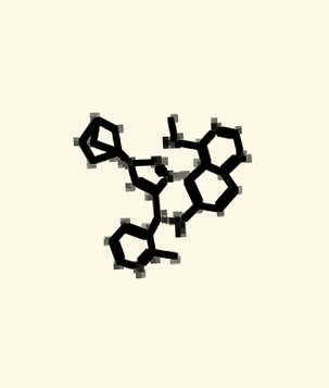 CNc1ncnc2ccc(N[C@@H](c3cn(C45CCC(C4)C5)nn3)c3cccnc3C)cc12